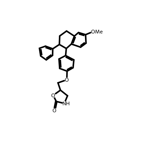 COc1ccc2c(c1)CCC(c1ccccc1)C2c1ccc(OCC2CNC(=O)O2)cc1